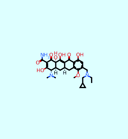 CCN(Cc1cc(O)c2c(c1OC)C[C@H]1C[C@H]3[C@H](N(C)C)C(O)=C(C(N)=O)C(=O)[C@@]3(O)C(O)=C1C2=O)CC1CC1